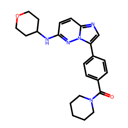 O=C(c1ccc(-c2cnc3ccc(NC4CCOCC4)nn23)cc1)N1CCCCC1